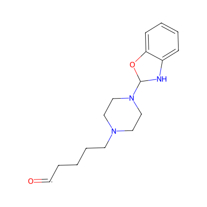 O=[C]CCCCN1CCN(C2Nc3ccccc3O2)CC1